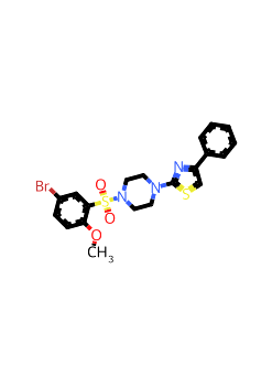 COc1ccc(Br)cc1S(=O)(=O)N1CCN(c2nc(-c3ccccc3)cs2)CC1